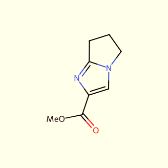 COC(=O)c1cn2c(n1)CCC2